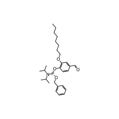 CCCCCCCCOc1cc(C=O)ccc1OP(OCc1ccccc1)N(C(C)C)C(C)C